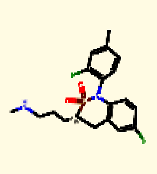 CNCCC[C@H]1Cc2cc(F)ccc2N(c2ccc(C)cc2F)S1(=O)=O